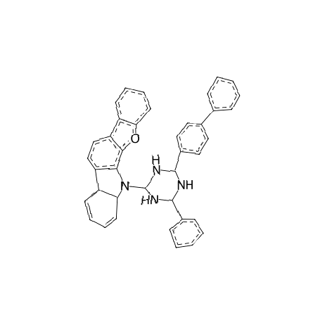 C1=CC2c3ccc4c(oc5ccccc54)c3N(C3NC(c4ccccc4)NC(c4ccc(-c5ccccc5)cc4)N3)C2C=C1